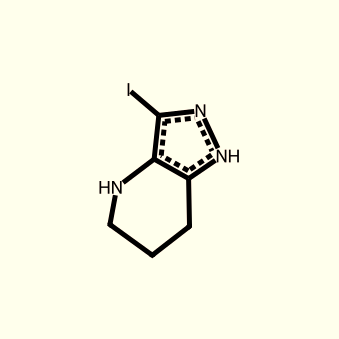 Ic1n[nH]c2c1NCCC2